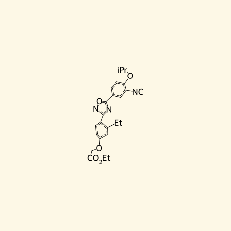 [C-]#[N+]c1cc(-c2nc(-c3ccc(OCC(=O)OCC)cc3CC)no2)ccc1OC(C)C